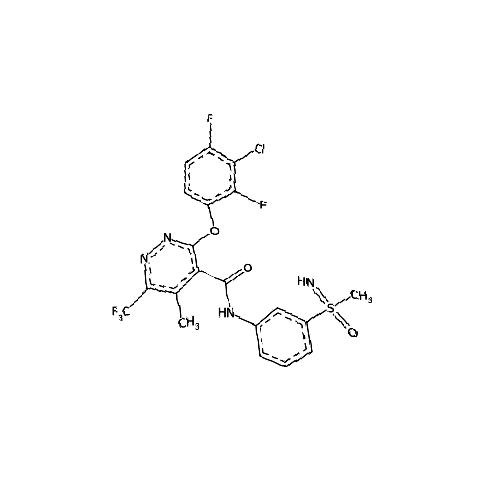 Cc1c(C(F)(F)F)nnc(Oc2ccc(F)c(Cl)c2F)c1C(=O)Nc1cccc(S(C)(=N)=O)c1